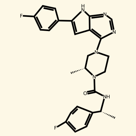 C[C@@H]1CN(c2ncnc3[nH]c(-c4ccc(F)cc4)cc23)CCN1C(=O)N[C@H](C)c1ccc(F)cc1